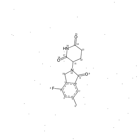 Cc1cc(F)c2c(c1)C(=O)N(C1CCC(=O)NC1=O)C2